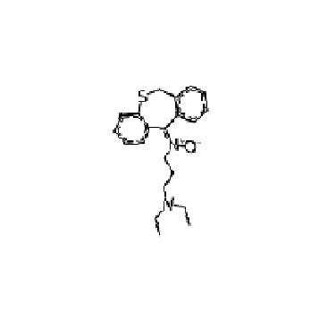 CCN(CC)CCC[N+]([O-])=C1c2ccccc2CSc2ccccc21